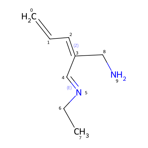 C=C/C=C(\C=N\CC)CN